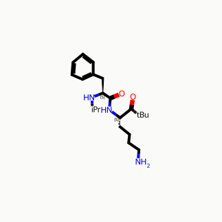 CC(C)N[C@@H](Cc1ccccc1)C(=O)N[C@@H](CCCCN)C(=O)C(C)(C)C